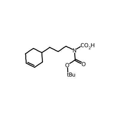 CC(C)(C)OC(=O)N(CCCC1CC=CCC1)C(=O)O